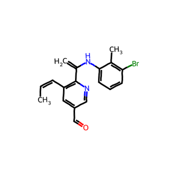 C=C(Nc1cccc(Br)c1C)c1ncc(C=O)cc1/C=C\C